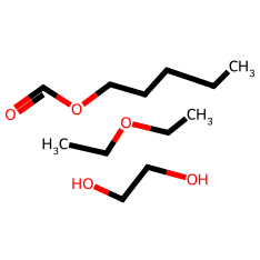 CCCCCOC=O.CCOCC.OCCO